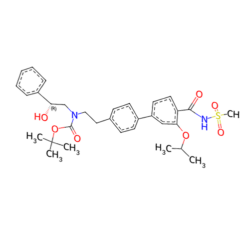 CC(C)Oc1cc(-c2ccc(CCN(C[C@H](O)c3ccccc3)C(=O)OC(C)(C)C)cc2)ccc1C(=O)NS(C)(=O)=O